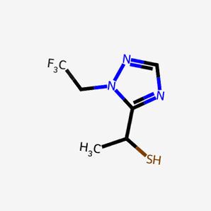 CC(S)c1ncnn1CC(F)(F)F